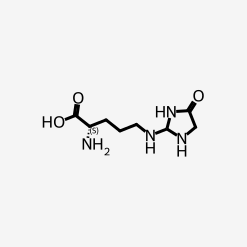 N[C@@H](CCCNC1NCC(=O)N1)C(=O)O